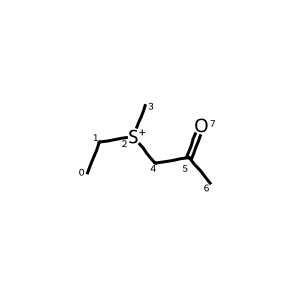 CC[S+](C)CC(C)=O